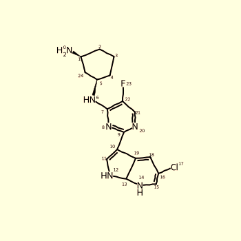 N[C@H]1CCC[C@@H](Nc2nc(C3=CNC4NC=C(Cl)C=C34)ncc2F)C1